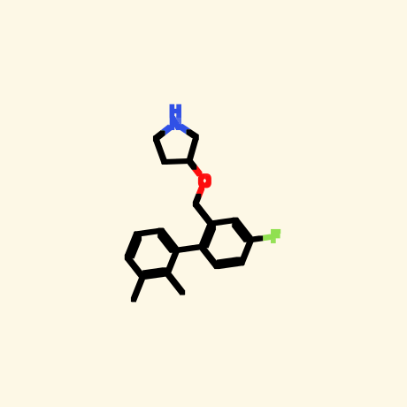 Cc1cccc(-c2ccc(F)cc2COC2CCNC2)c1C